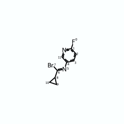 Fc1ccc(N=C(Br)C2CC2)cn1